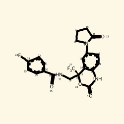 O=C1Nc2ccc(N3CCCC3=O)cc2[C@](CNC(=O)c2ccc(F)cc2)(C(F)(F)F)O1